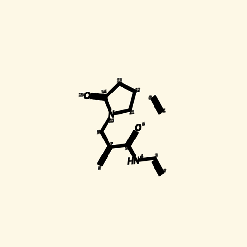 C=C.C=CNC(=O)C(=C)CN1CCCC1=O